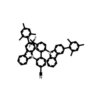 Cc1cc(C)c(-c2ccc3c(c2)c2ccccc2n3-c2ccc(C(F)(F)F)cc2-c2ccc(C#N)cc2-n2c3ccccc3c3cc(-c4c(C)cc(C)cc4C)ccc32)c(C)c1